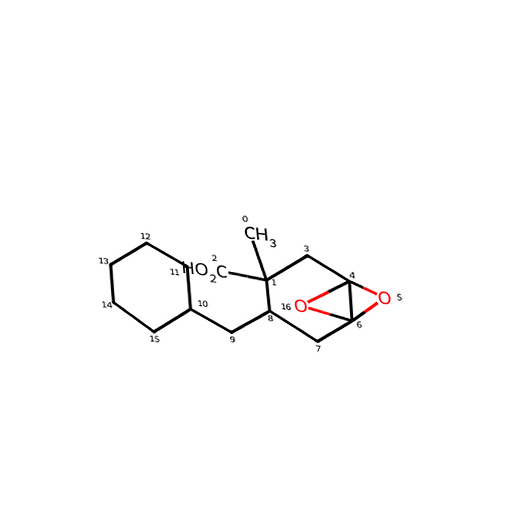 CC1(C(=O)O)CC23OC2(CC1CC1CCCCC1)O3